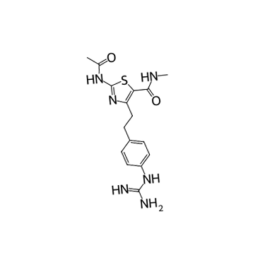 CNC(=O)c1sc(NC(C)=O)nc1CCc1ccc(NC(=N)N)cc1